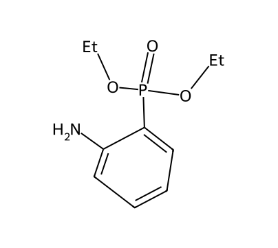 CCOP(=O)(OCC)c1ccccc1N